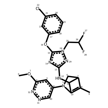 COc1cc(N2CC3C(C)=C2C3Nc2nc(Oc3cccc(Cl)c3)n(CC(F)F)n2)cnn1